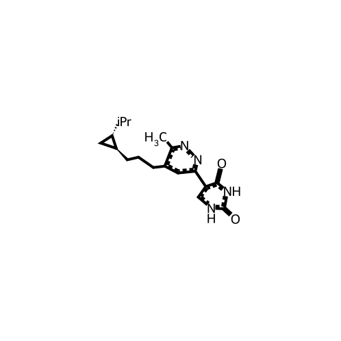 Cc1nnc(-c2c[nH]c(=O)[nH]c2=O)cc1CCC[C@H]1C[C@@H]1C(C)C